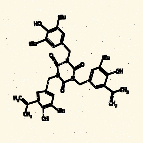 C=C(C)c1cc(Cn2c(=O)n(Cc3cc(C(=C)C)c(O)c(C(C)(C)C)c3)c(=O)n(Cc3cc(C(C)(C)C)c(O)c(C(C)(C)C)c3)c2=O)cc(C(C)(C)C)c1O